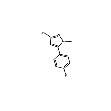 CC(C)c1cc(-c2ccc(F)cc2)n(C)n1